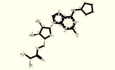 CC(C)[C@H](N)C(=O)OC[C@H]1O[C@@H](n2cnc3c(NC4CCCC4)nc(Cl)nc32)[C@H](O)[C@@H]1O